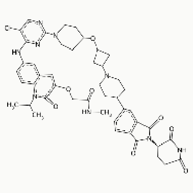 CNC(=O)COc1cc2cc(Nc3nc(N4CCC(OC5CC(N6CCC(c7ccc8c(c7)C(=O)N([C@@H]7CCC(=O)NC7=O)C8=O)CC6)C5)CC4)ncc3Cl)ccc2n(C(C)C)c1=O